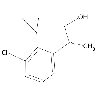 C[C](CO)c1cccc(Cl)c1C1CC1